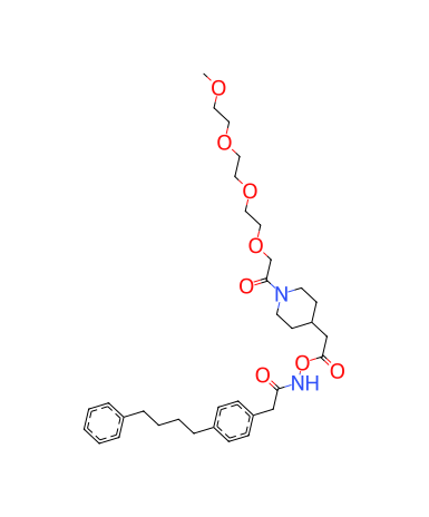 COCCOCCOCCOCC(=O)N1CCC(CC(=O)ONC(=O)Cc2ccc(CCCCc3ccccc3)cc2)CC1